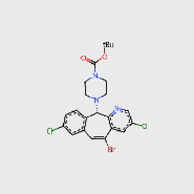 CC(C)(C)OC(=O)N1CCN([C@H]2c3ccc(Cl)cc3C=C(Br)c3cc(Cl)cnc32)CC1